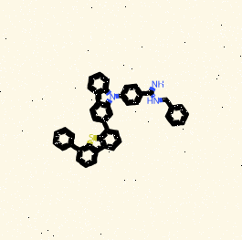 N=C(NCc1ccccc1)c1ccc(-n2c3ccccc3c3ccc(-c4cccc5c4sc4c(-c6ccccc6)cccc45)cc32)cc1